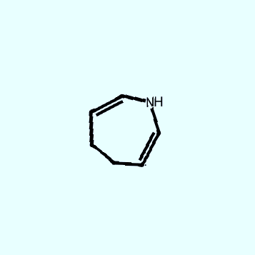 [C]1=CNC=CCC1